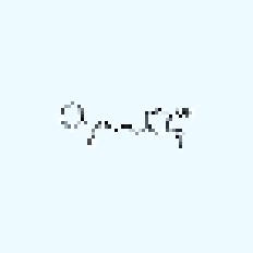 COc1cc(/C=C/COC(=O)C2=CCCC=C2)ccc1O